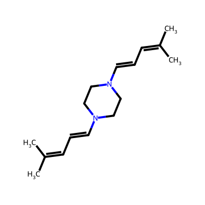 CC(C)=CC=CN1CCN(C=CC=C(C)C)CC1